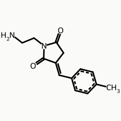 Cc1ccc(/C=C2\CC(=O)N(CCN)C2=O)cc1